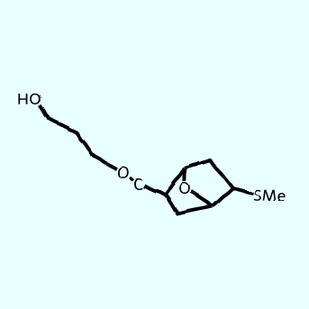 CSC1CC2OC1CC2COCCCO